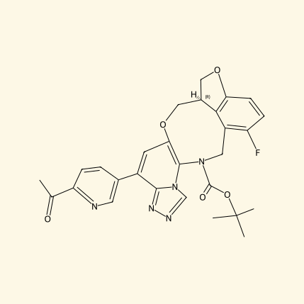 CC(=O)c1ccc(-c2cc3c(n4cnnc24)N(C(=O)OC(C)(C)C)Cc2c(F)ccc4c2[C@H](CO4)CO3)cn1